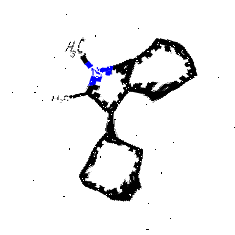 Cc1c(-c2ccccc2)c2ccccc2n1C